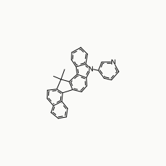 CC1(C)c2ccc3ccccc3c2-c2ccc3c(c21)c1ccccc1n3-c1cccnc1